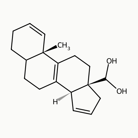 C[C@]12C=CCCC1CCC1=C2CC[C@]2(C(O)O)CC=C[C@@H]12